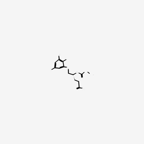 CC(C)(C)OC(=O)N[C@@H](CCC(N)=O)COc1cc(Cl)cc(Br)c1F